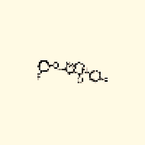 O=C1c2cc(COc3cccc(F)c3)nn2CCN1c1ccc(F)cc1